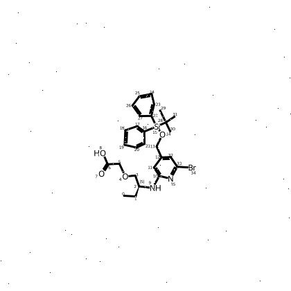 CC[C@@H](COCC(=O)O)Nc1cc(CO[Si](c2ccccc2)(c2ccccc2)C(C)(C)C)cc(Br)n1